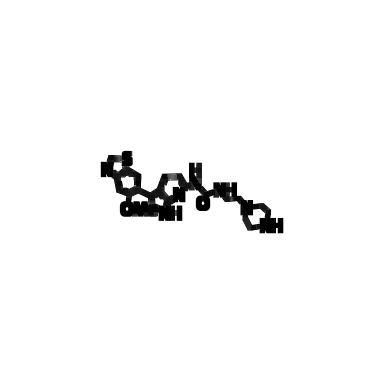 COc1cc2ncsc2cc1-c1c[nH]c2nc(NC(=O)NCCN3CCNCC3)ccc12